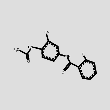 N#Cc1cc(NC(=O)c2ccccc2F)ccc1NC(=O)C(F)(F)F